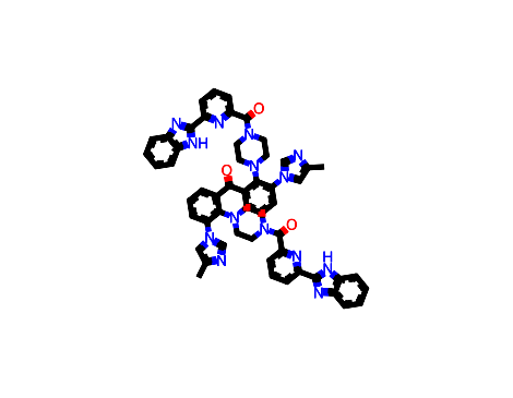 Cc1cn(-c2cccc(C(=O)c3cccc(-n4cnc(C)c4)c3N3CCN(C(=O)c4cccc(-c5nc6ccccc6[nH]5)n4)CC3)c2N2CCN(C(=O)c3cccc(-c4nc5ccccc5[nH]4)n3)CC2)cn1